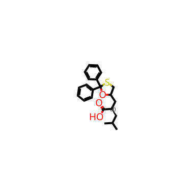 CC(C)C[C@H](CC1CSC(c2ccccc2)(c2ccccc2)O1)C(=O)O